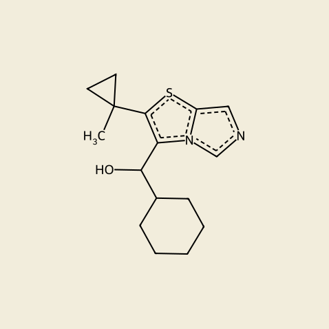 CC1(c2sc3cncn3c2C(O)C2CCCCC2)CC1